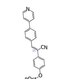 CCCCCCCCOc1ccc(/C(C#N)=C/c2ccc(-c3ccncc3)cc2)cc1